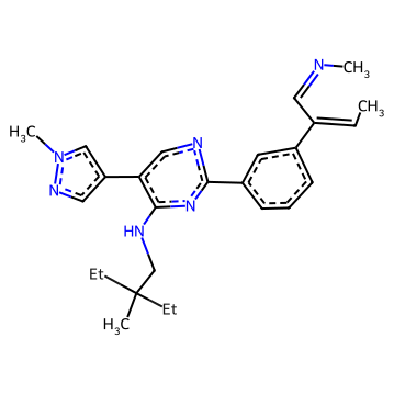 C/C=C(\C=N/C)c1cccc(-c2ncc(-c3cnn(C)c3)c(NCC(C)(CC)CC)n2)c1